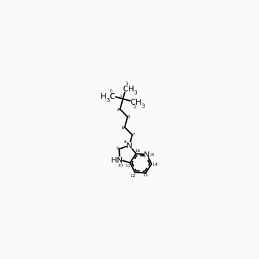 CC(C)(C)CCCCN1CNc2cccnc21